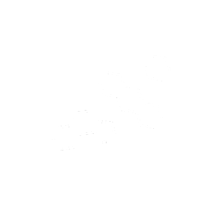 c1ccc(-c2c3ccccc3c(-c3coc4c3ccc3ccccc34)c3ccccc23)cc1